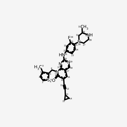 Cc1ccsc1Cn1c(=O)c(C#CC2CC2)cc2cnc(Nc3ccc(N4CCNC(C)C4)c(F)c3)nc21